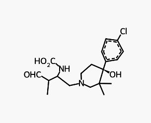 CC(C=O)C(CN1CC[C@](O)(c2ccc(Cl)cc2)C(C)(C)C1)NC(=O)O